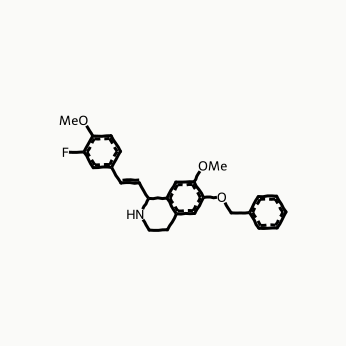 COc1ccc(/C=C/C2NCCc3cc(OCc4ccccc4)c(OC)cc32)cc1F